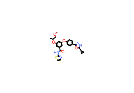 COCC(C)Oc1cc(Oc2ccc(-c3nnc(C4CC4)o3)cc2)cc(C(=O)Nc2nccs2)c1